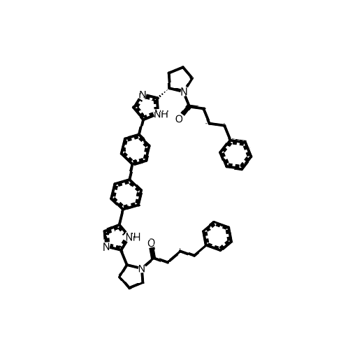 O=C(C[CH]Cc1ccccc1)N1CCCC1c1ncc(-c2ccc(-c3ccc(-c4cnc([C@@H]5CCCN5C(=O)C[CH]Cc5ccccc5)[nH]4)cc3)cc2)[nH]1